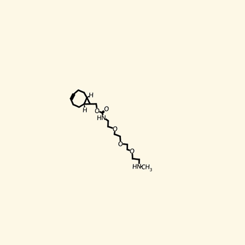 CNCCOCCOCCOCCNC(=O)OCC1[C@H]2CCC#CCC[C@@H]12